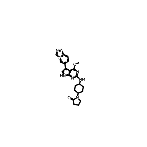 COc1nc(NC2CCC(N3CCCC3=O)CC2)nc2[nH]cc(-c3ccc4nncn4c3)c12